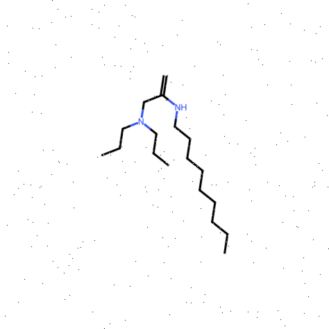 C=C(CN(CCC)CCC)NCCCCCCCCC